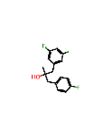 CC(O)(Cc1ccc(F)cc1)Cc1cc(F)cc(F)c1